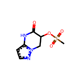 CS(=O)(=O)OC1Cn2nccc2NC1=O